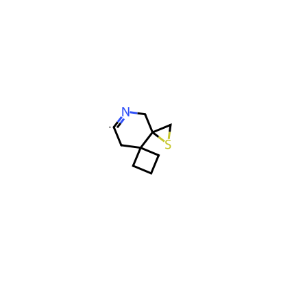 [C]1=NCC2(CS2)C2(C1)CCC2